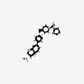 O=C(O)c1cnc2cc(-c3ccc([C@H]4CC45CCN(C(=O)[C@H]4CCCO4)CC5)cc3)ccc2c1